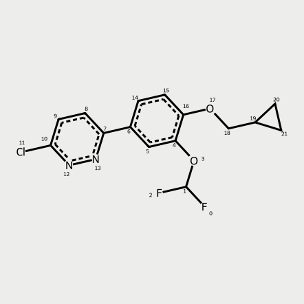 FC(F)Oc1cc(-c2ccc(Cl)nn2)ccc1OCC1CC1